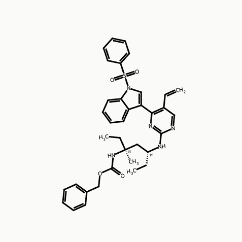 C=Cc1cnc(N[C@H](CC)C[C@](C)(CC)NC(=O)OCc2ccccc2)nc1-c1cn(S(=O)(=O)c2ccccc2)c2ccccc12